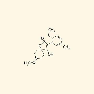 CCc1ccc(C)cc1C1=C(O)C2(CCN(OC)CC2)OC1=O